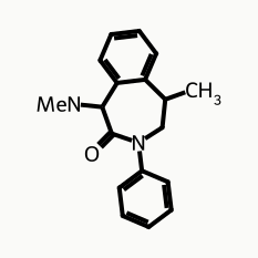 CNC1C(=O)N(c2ccccc2)CC(C)c2ccccc21